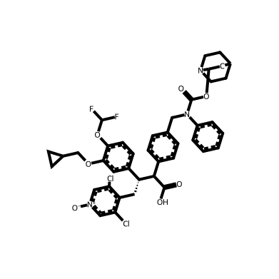 O=C(O)C(c1ccc(CN(C(=O)OC2CC3CCN2CC3)c2ccccc2)cc1)[C@H](Cc1c(Cl)c[n+]([O-])cc1Cl)c1ccc(OC(F)F)c(OCC2CC2)c1